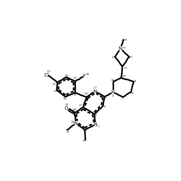 Cc1nc2cc(N3CCCC(C4CN(C)C4)C3)nc(-c3ccc(Cl)cc3F)c2c(=O)n1C